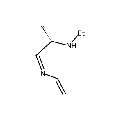 C=C/N=C\[C@H](C)NCC